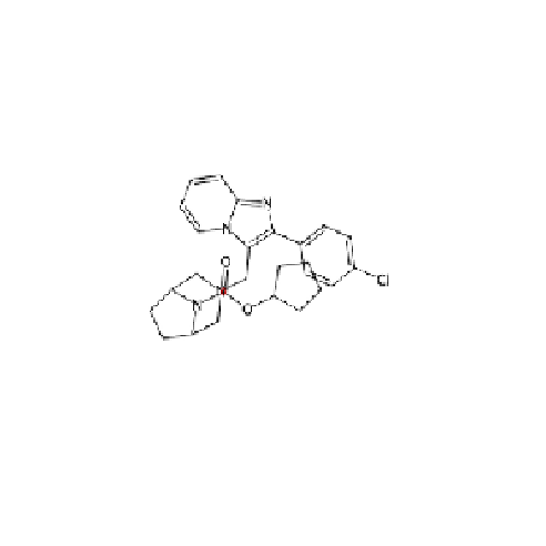 O=C(OC1CCCC1)N1C2CCC1CN(Cc1c(-c3ccc(Cl)cc3)nc3ccccn13)C2